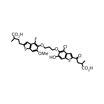 COc1cc2sc(CCC(C)C(=O)O)cc2c(F)c1OCCCOc1c(O)cc2sc(C(=O)CC(C)C(=O)O)cc2c1Cl